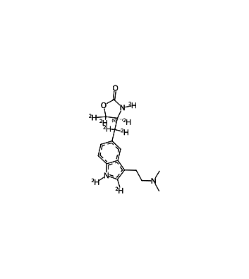 [2H]c1c(CCN(C)C)c2cc(C([2H])([2H])[C@]3([2H])N([2H])C(=O)OC3([2H])[2H])ccc2n1[2H]